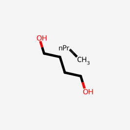 CCCC.OCCCCO